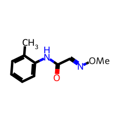 CO/N=C/C(=O)Nc1ccccc1C